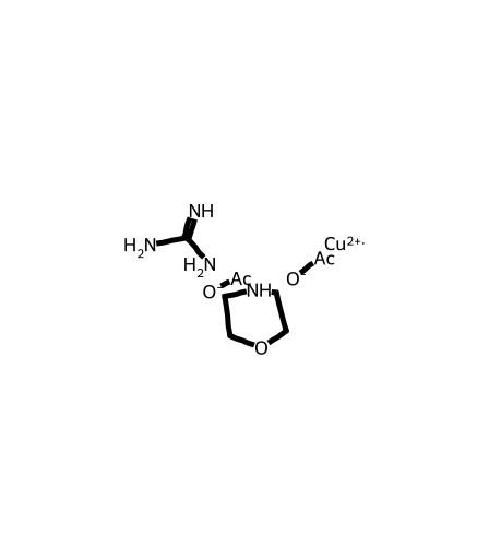 C1COCCN1.CC(=O)[O-].CC(=O)[O-].N=C(N)N.[Cu+2]